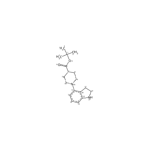 CC(C)(C)OC(=O)C1CCN(c2cccc3c2CCN3)CC1